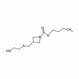 CCCCOC(=O)N1CC(CSCCO)C1